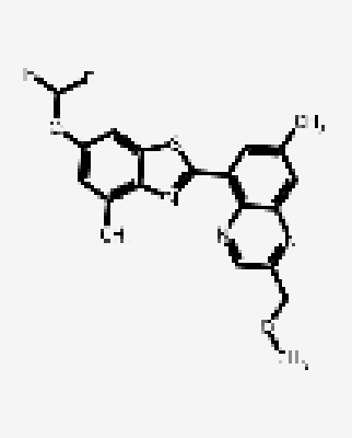 COCc1cnc2c(-c3nc4c(C)cc(OC(F)F)cc4s3)cc(C)cc2n1